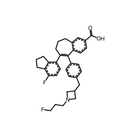 O=C(O)c1ccc2c(c1)CCCC(c1ccc(F)c3c1CCC3)=C2c1ccc(CC2CN(CCCF)C2)cc1